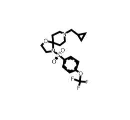 O=S(=O)(c1ccc(OC(F)(F)F)cc1)N1CCOC12CCN(CC1CC1)CC2